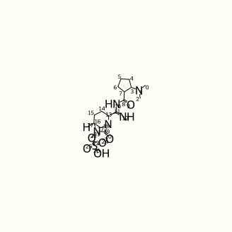 CN(C)C1CCCC1C(=O)NC(=N)[C@@H]1CC[C@@H]2CN1C(=O)N2OS(=O)(=O)O